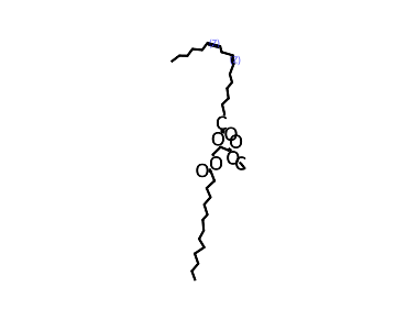 CCCCC/C=C\C/C=C\CCCCCCCC(=O)OC(COC(=O)CCCCCCCCCCCCC)C(=O)OCC